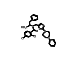 O=C(O)C(Cc1ccccc1)N(Cc1cnc(N2CCN(c3ccccc3)CC2)s1)C(=O)c1ccc(Cl)cc1Cl